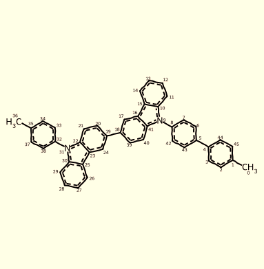 Cc1ccc(-c2ccc(-n3c4ccccc4c4cc(-c5ccc6c(c5)c5ccccc5n6-c5ccc(C)cc5)ccc43)cc2)cc1